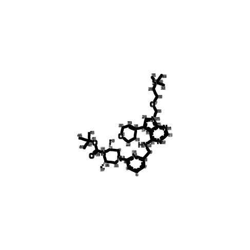 C[C@@H]1CN(c2cccc(CNc3ncnc4c3c(C3=CCOCC3)cn4COCC[Si](C)(C)C)n2)C[C@H](C)N1C(=O)OC(C)(C)C